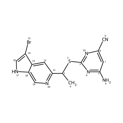 CC(Sc1nc(N)cc(C#N)n1)c1cc2c(Br)c[nH]c2cn1